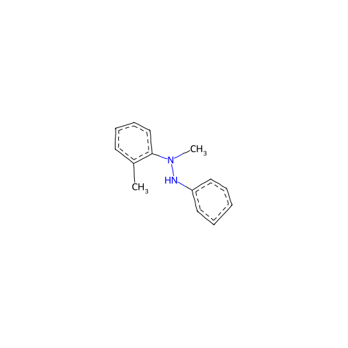 Cc1ccccc1N(C)Nc1ccccc1